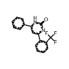 O=c1nc(-c2ccccc2C(F)(F)F)cc(-c2ccccc2)[nH]1